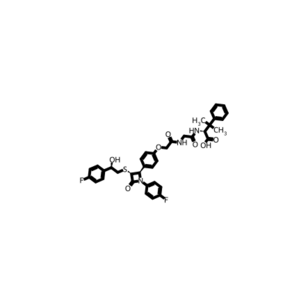 CC(C)(c1ccccc1)[C@@H](NC(=O)CNC(=O)COc1ccc([C@@H]2[C@@H](SC[C@H](O)c3ccc(F)cc3)C(=O)N2c2ccc(F)cc2)cc1)C(=O)O